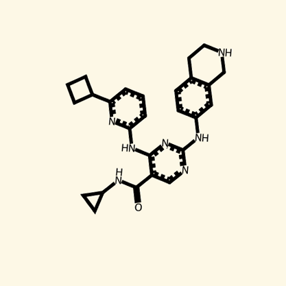 O=C(NC1CC1)c1cnc(Nc2ccc3c(c2)CNCC3)nc1Nc1cccc(C2CCC2)n1